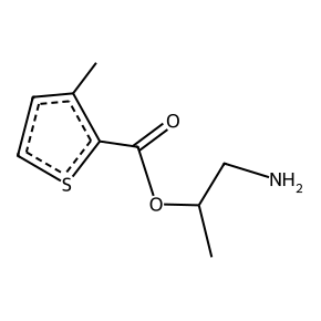 Cc1ccsc1C(=O)OC(C)CN